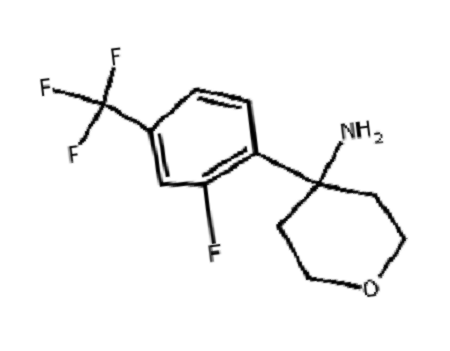 NC1(c2ccc(C(F)(F)F)cc2F)CCOCC1